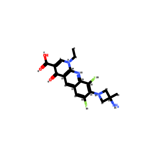 CCn1cc(C(=O)O)c(=O)c2cc3cc(F)c(N4CC(C)(N)C4)c(F)c3nc21